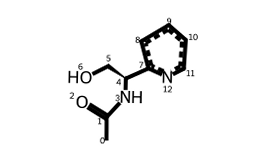 CC(=O)N[C@@H](CO)c1ccccn1